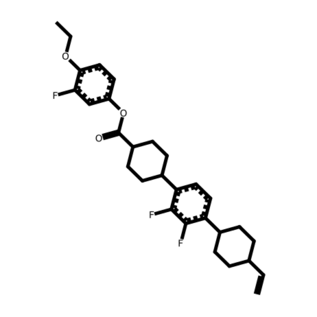 C=CC1CCC(c2ccc(C3CCC(C(=O)Oc4ccc(OCC)c(F)c4)CC3)c(F)c2F)CC1